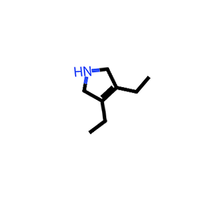 CCC1=C(CC)CNC1